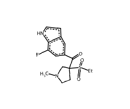 CCS(=O)(=O)C1(C(=O)c2cc(F)c3[nH]ccc3c2)CCN(C)C1